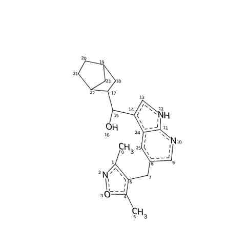 Cc1noc(C)c1Cc1cnc2[nH]cc(C(O)C3CC4CCC3C4)c2c1